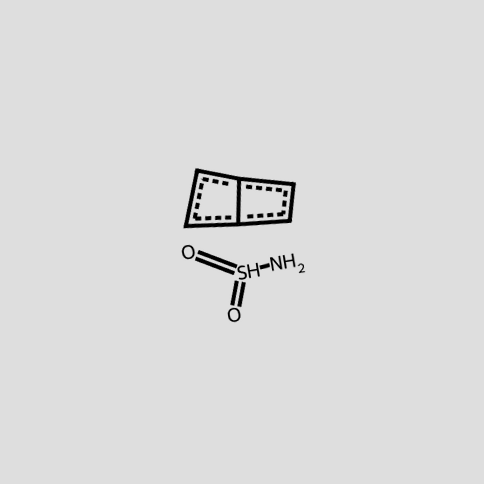 N[SH](=O)=O.c1cc2ccc1-2